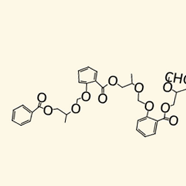 CC(COC(=O)c1ccccc1OCOC(C)COC(=O)c1ccccc1OCOC(C)COC(=O)c1ccccc1)OC=O